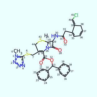 Cn1nnnc1SCC1=C(C(=O)OC(c2ccccc2)c2ccccc2)N2C(=O)C(NC(=O)CC3=CC=CCC3=CCl)[C@@H]2SC1